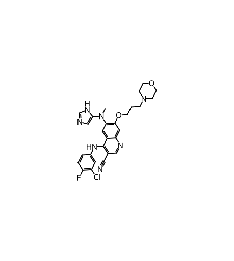 CN(c1cnc[nH]1)c1cc2c(Nc3ccc(F)c(Cl)c3)c(C#N)cnc2cc1OCCCN1CCOCC1